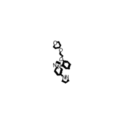 C1=C[N+]2(c3ccccc3OCCOC3CCOCC3)C=C(n3cccn3)C=CC2=N1